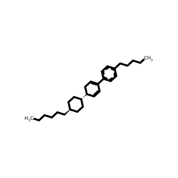 CCCCCC[C@H]1CC[C@H](C2C=CC(c3ccc(CCCCC)cc3)=CC2)CC1